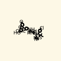 Cc1sc2c(c1C)C(c1ccc(Cl)cc1)=N[C@@H](CC(=O)NNC(=S)Nc1ccc(-c3c4ccc(=O)cc-4oc4cc(O)ccc34)c(C=O)c1)c1nnc(C)n1-2